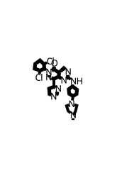 CN1CCN(c2ccc(Nc3ncc4c(=O)n(-c5c(Cl)cccc5Cl)nc(-c5ccncn5)c4n3)cc2)CC1